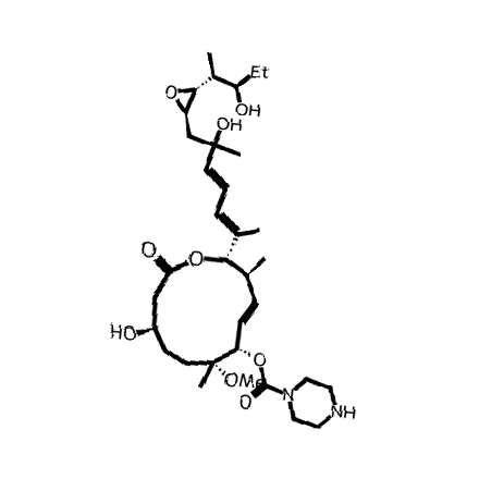 CCC(O)C(C)[C@H]1O[C@@H]1CC(C)(O)/C=C/C=C(\C)[C@H]1OC(=O)C[C@H](O)CC[C@@](C)(OC)[C@@H](OC(=O)N2CCNCC2)/C=C/[C@@H]1C